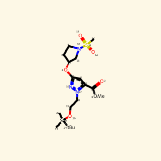 COC(=O)c1cc(O[C@H]2CCN(S(C)(=O)=O)C2)nn1CCO[Si](C)(C)C(C)(C)C